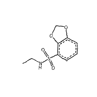 CCNS(=O)(=O)c1[c]ccc2c1OCO2